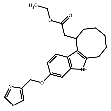 CCOC(=O)CC1CCCCCc2[nH]c3cc(OCc4cscn4)ccc3c21